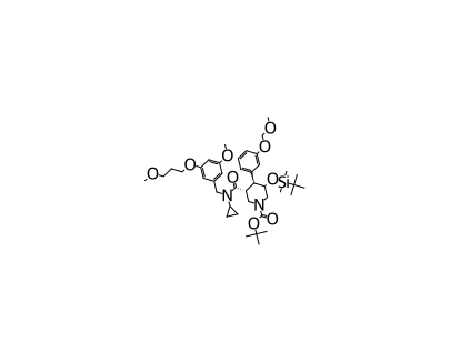 COCCCOc1cc(CN(C(=O)[C@H]2CN(C(=O)OC(C)(C)C)C[C@@H](O[Si](C)(C)C(C)(C)C)[C@@H]2c2cccc(OCOC)c2)C2CC2)cc(OC)c1